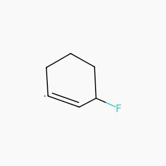 FC1C=[C]CCC1